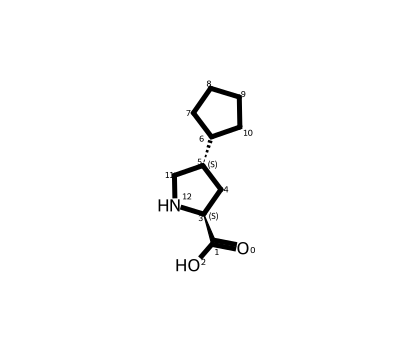 O=C(O)[C@@H]1C[C@@H](C2CCCC2)CN1